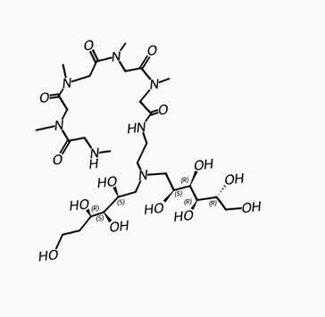 CNCC(=O)N(C)CC(=O)N(C)CC(=O)N(C)CC(=O)N(C)CC(=O)NCCN(C[C@H](O)[C@@H](O)[C@H](O)[C@H](O)CO)C[C@H](O)[C@@H](O)[C@H](O)CCO